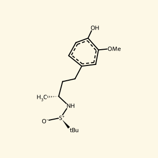 COc1cc(CC[C@@H](C)N[S@+]([O-])C(C)(C)C)ccc1O